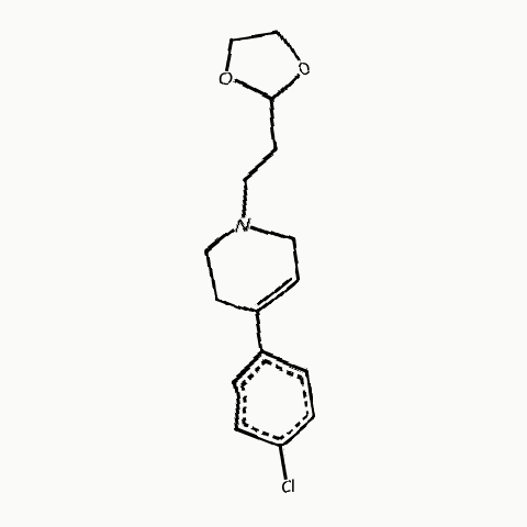 Clc1ccc(C2=CCN(CCC3OCCO3)CC2)cc1